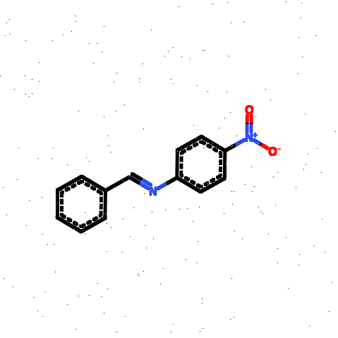 O=[N+]([O-])c1ccc(N=Cc2ccccc2)cc1